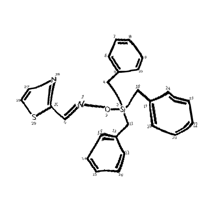 C(=N\O[Si](Cc1ccccc1)(Cc1ccccc1)Cc1ccccc1)/c1nccs1